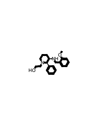 COc1ccccc1CN[C@@H]1CCCN(CCO)[C@@H]1c1ccccc1